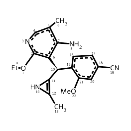 CCOc1ncc(C)c(N)c1[C@H](C1=C(C)N1)c1ccc(C#N)cc1OC